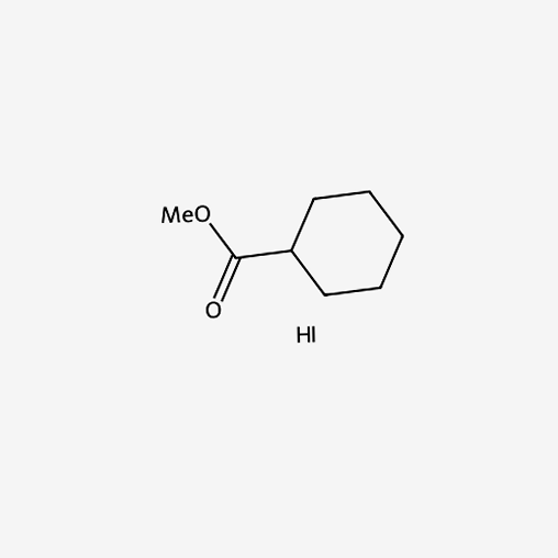 COC(=O)C1CCCCC1.I